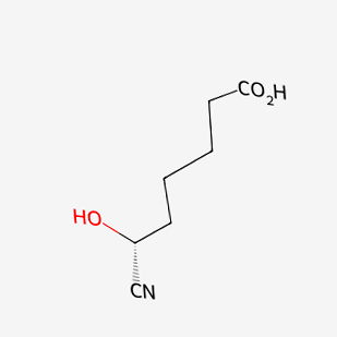 N#C[C@H](O)CCCCC(=O)O